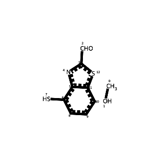 CO.O=Cc1nc2c(S)cccc2s1